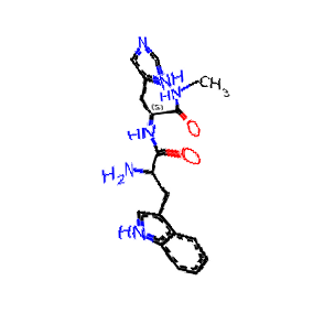 CNC(=O)[C@H](Cc1cnc[nH]1)NC(=O)C(N)Cc1c[nH]c2ccccc12